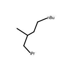 [CH2]C(C)CC(C)CCCCCC